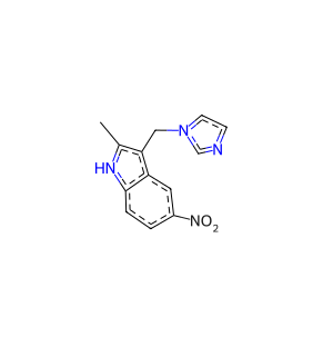 Cc1[nH]c2ccc([N+](=O)[O-])cc2c1Cn1ccnc1